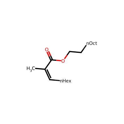 CCCCCCC=C(C)C(=O)OCCCCCCCCCC